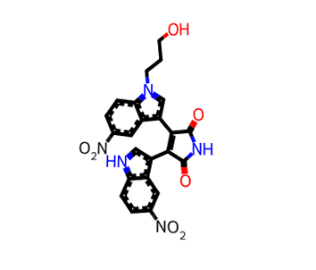 O=C1NC(=O)C(c2cn(CCCO)c3ccc([N+](=O)[O-])cc23)=C1c1c[nH]c2ccc([N+](=O)[O-])cc12